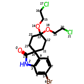 O=C1Nc2cc(Br)ccc2C12CCC(OCCCl)(OCCCl)CC2